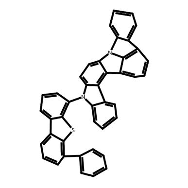 c1ccc(-c2cccc3c2sc2c(-n4c5ccccc5c5c6c7cccc8c9ccccc9n(c6ccc54)c87)cccc23)cc1